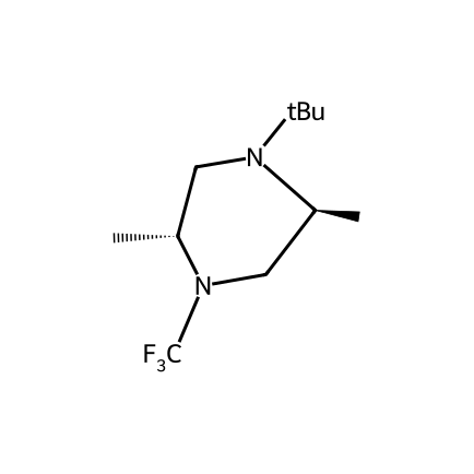 C[C@@H]1CN(C(C)(C)C)[C@@H](C)CN1C(F)(F)F